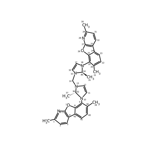 Cc1ccc2c(n1)oc1c(N3C=CN(CN4C=CN(c5c(C)ccc6c5oc5nc(C)ccc56)[C@H]4C)[C@H]3C)c(C)ccc12